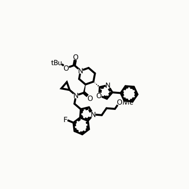 COCCCn1cc(CN(C(=O)[C@H]2CN(C(=O)OC(C)(C)C)CC[C@@H]2c2nc(-c3ccccc3)co2)C2CC2)c2c(F)cccc21